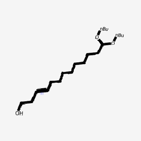 CCCCOC(CCCCCCCC/C=C/CCO)OCCCC